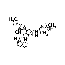 C=CC(=O)N1CCN(c2cc(CNC(C)CN3CCC(C)(O)C3)nc3c2CCN(c2cccc4cccc(C)c24)C3)C[C@@H]1CC#N